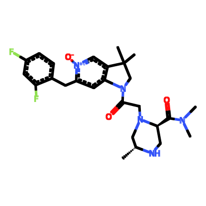 C[C@@H]1CN(CC(=O)N2CC(C)(C)c3c[n+]([O-])c(Cc4ccc(F)cc4F)cc32)[C@@H](C(=O)N(C)C)CN1